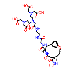 O=C(O)CN(CCN(CCN(CC(=O)O)CC(=O)O)CC(=O)NCCNC(=O)CNC(=O)[C@@H]1Cc2ccc(cc2)OCCC[C@H](C(=O)NO)CC(=O)N1)CC(=O)O